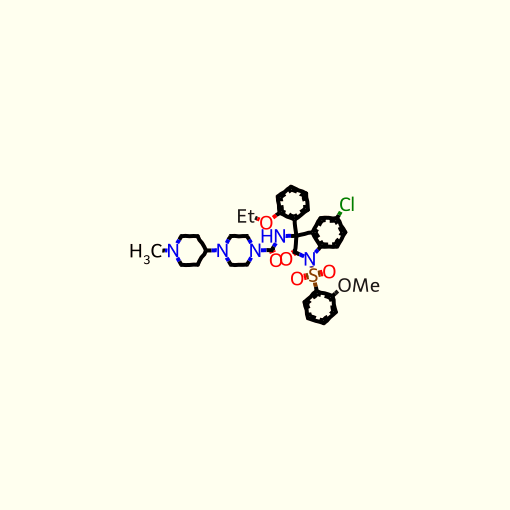 CCOc1ccccc1C1(NC(=O)N2CCN(C3CCN(C)CC3)CC2)C(=O)N(S(=O)(=O)c2ccccc2OC)c2ccc(Cl)cc21